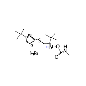 Br.CNC(=O)O/N=C(/CSc1nc(C(C)(C)C)cs1)C(C)(C)C